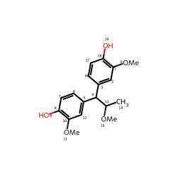 COc1cc(C(c2ccc(O)c(OC)c2)C(C)OC)ccc1O